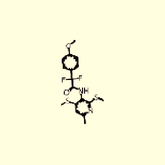 COc1ccc(C(F)(F)C(=O)Nc2c(SC)cc(C)nc2SC)cc1